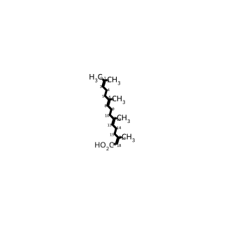 CC(C)=CCC/C(C)=C/CC/C(C)=C/CC/C(C)=C\C(=O)O